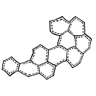 c1ccc2c(c1)cc1ccc3c4ccc5ccc6ccc7cccc8c7c6c5c4c8c4ccc2c1c34